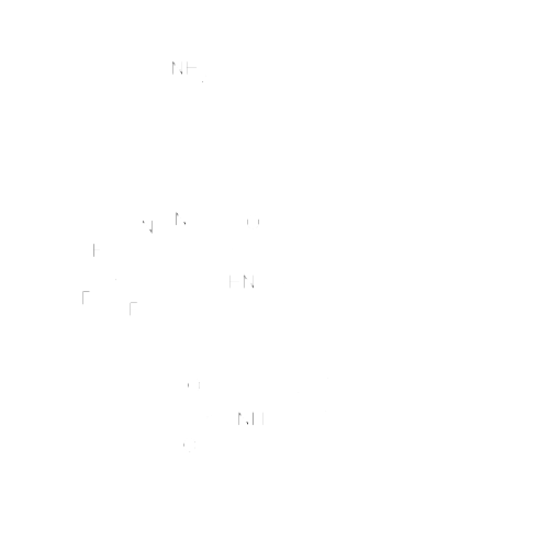 CC(C)(C)OC(=O)NCC1CC1C(c1cccc(NC(=O)c2cc(C(F)(F)F)nn2-c2cccc(CN)c2)c1)c1cccc2ccccc12